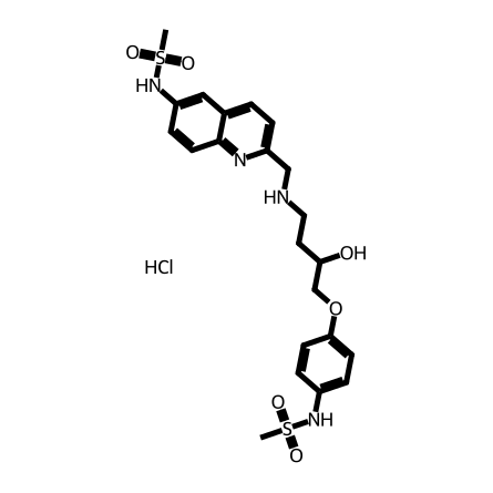 CS(=O)(=O)Nc1ccc(OCC(O)CCNCc2ccc3cc(NS(C)(=O)=O)ccc3n2)cc1.Cl